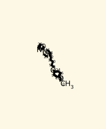 CCOc1ccc(OCCCCCN2CCN(c3nccs3)CC2)cc1